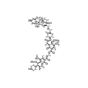 COc1c(N2CCNCC2)c(F)c(C)c2c(=O)c(C(=O)OCOC(=O)c3c(C)n(C4CC4)c4c(OC)c(N5CCN(COCC(=O)[C@@]6(O)CC[C@H]7[C@@H]8CCC9=CC(=O)C=C[C@]9(C)[C@H]8[C@@H](O)C[C@@]76C)C(C)C5)c(F)c(C)c4c3=O)c(C)n(C3CC3)c12